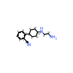 N#Cc1ccccc1C1CCC(NCCN)CC1